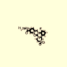 NNC(=O)c1ccc(CN(C(=O)N2CCS(=O)(=O)CC2)c2ccccc2F)nc1